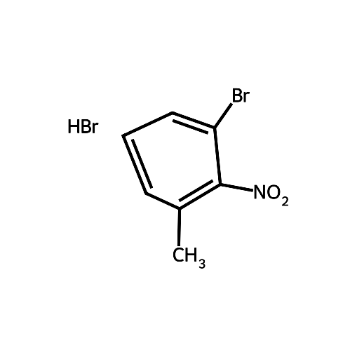 Br.Cc1cccc(Br)c1[N+](=O)[O-]